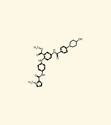 COC(=O)c1cc(NC(=O)c2ccc(N3CCC(O)CC3)cc2)ccc1Nc1ccc(NC(=O)c2cccn2C)cc1